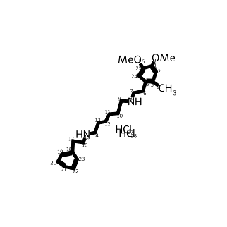 COc1cc(C)c(CCNCCCCCCNCCc2ccccc2)cc1OC.Cl.Cl